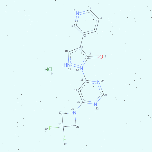 Cl.O=c1c(-c2cccnc2)c[nH]n1-c1cc(N2CC(F)(F)C2)ncn1